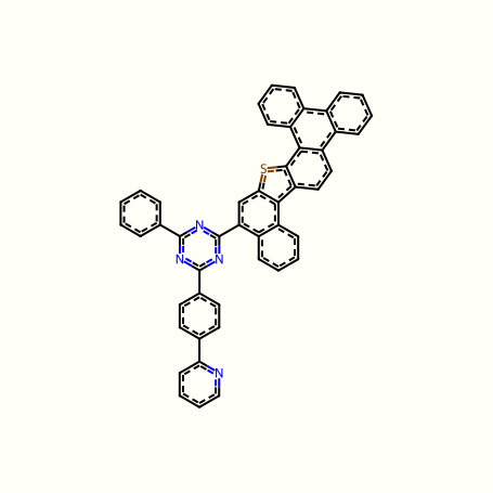 c1ccc(-c2nc(-c3ccc(-c4ccccn4)cc3)nc(-c3cc4sc5c(ccc6c7ccccc7c7ccccc7c65)c4c4ccccc34)n2)cc1